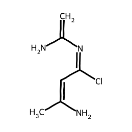 C=C(N)/N=C(Cl)\C=C(\C)N